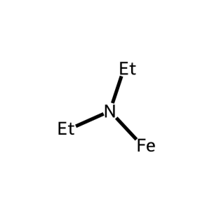 CC[N]([Fe])CC